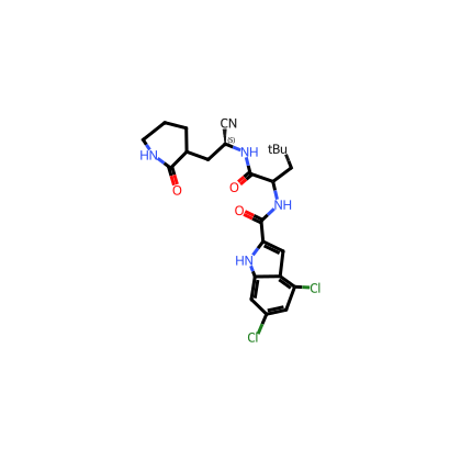 CC(C)(C)CC(NC(=O)c1cc2c(Cl)cc(Cl)cc2[nH]1)C(=O)N[C@H](C#N)CC1CCCNC1=O